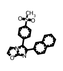 CS(=O)(=O)c1ccc(-c2c(-c3ccc4ccccc4c3)nc3occn23)cc1